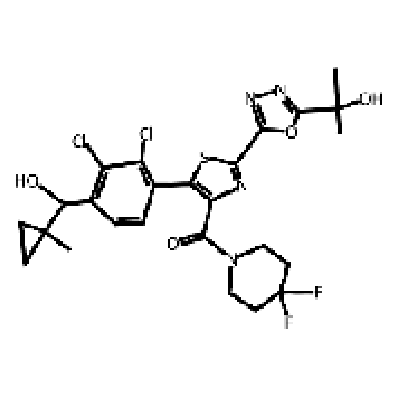 CC(C)(O)c1nnc(-c2nc(C(=O)N3CCC(F)(F)CC3)c(-c3ccc(C(O)C4(C)CC4)c(Cl)c3Cl)s2)o1